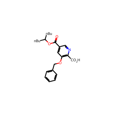 CCCCC(CCCC)OC(=O)c1cnc(C(=O)O)c(OCc2ccccc2)c1